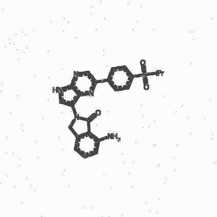 CC(C)S(=O)(=O)c1ccc(-c2cnc3[nH]cc(N4Cc5cccc(N)c5C4=O)c3n2)cc1